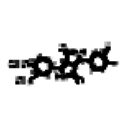 Cc1ccc(C2=C3C(=O)NC(c4ccc(C=O)c(C=O)c4)=C3C(=O)N2)cc1C